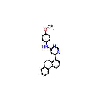 FC(F)(F)Oc1ccc(Nc2cc(-c3cccc4c3CCc3ccccc3-4)ncn2)cc1